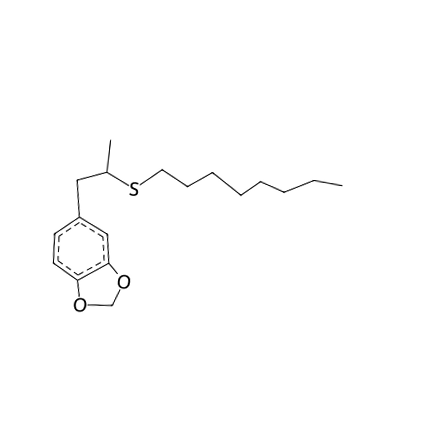 CCCCCCCCSC(C)Cc1ccc2c(c1)OCO2